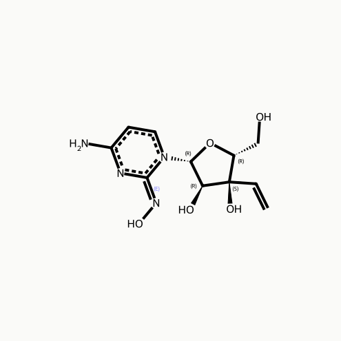 C=C[C@@]1(O)[C@@H](CO)O[C@@H](n2ccc(N)n/c2=N\O)[C@@H]1O